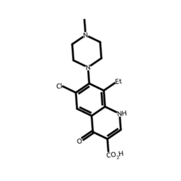 CCc1c(N2CCN(C)CC2)c(Cl)cc2c(=O)c(C(=O)O)c[nH]c12